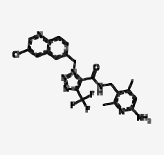 Cc1cc(N)nc(C)c1CNC(=O)c1c(C(F)(F)F)nnn1Cc1ccc2ncc(Cl)cc2c1